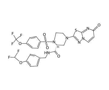 O=C(NCc1ccc(OC(F)F)cc1)[C@H]1CN(c2nn3ccc(=O)nc3s2)CCN1S(=O)(=O)c1ccc(OC(F)(F)F)cc1